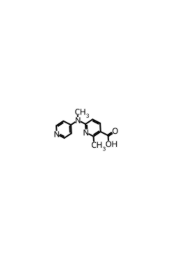 Cc1nc(N(C)c2ccncc2)ccc1C(=O)O